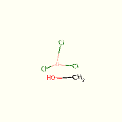 CO.ClB(Cl)Cl